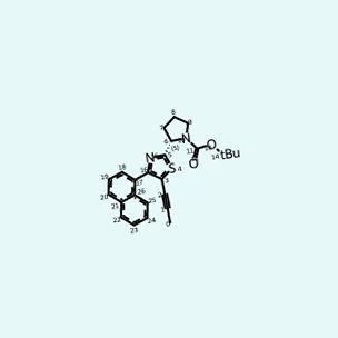 CC#Cc1sc([C@@H]2CCCN2C(=O)OC(C)(C)C)nc1-c1cccc2ccccc12